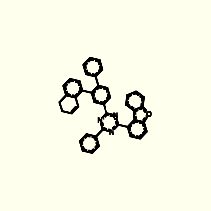 C1=Cc2c(cccc2-c2cc(-c3nc(-c4ccccc4)nc(-c4cccc5oc6ccccc6c45)n3)ccc2-c2ccccc2)CC1